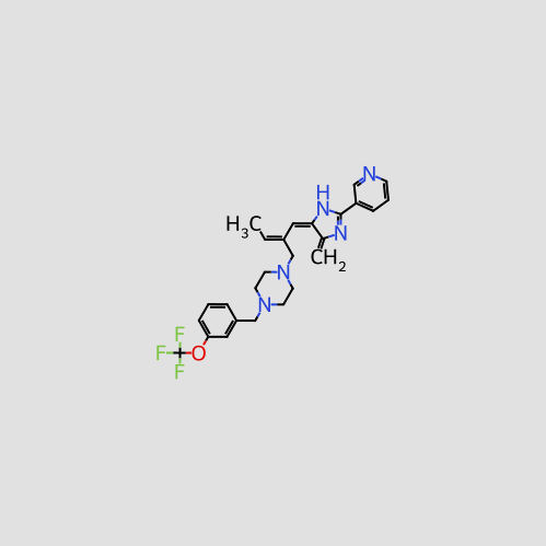 C=c1nc(-c2cccnc2)[nH]/c1=C/C(=C\C)CN1CCN(Cc2cccc(OC(F)(F)F)c2)CC1